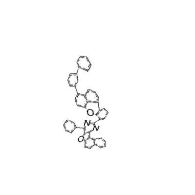 c1ccc(-c2cccc(-c3ccc4c5c(cccc35)-c3cccc(-c5nc(-c6ccccc6)c6oc7ccc8ccccc8c7c6n5)c3O4)c2)cc1